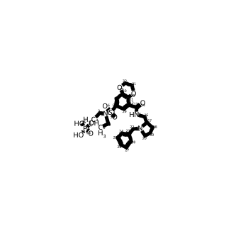 CCN(CC)S(=O)(=O)c1cc2c(c(C(=O)NCC3CCCN3Cc3ccccc3)c1)OCCO2.O=P(O)(O)O